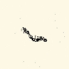 O=Cc1c(-c2ccc(Oc3ccccc3)cc2)nn2c1Nc1cc(C3CCN(CCc4ccc(N5CCC(=O)NC5=O)cc4)CC3)ccc1CC2